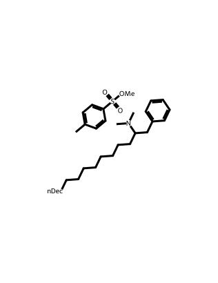 CCCCCCCCCCCCCCCCCCC(Cc1ccccc1)N(C)C.COS(=O)(=O)c1ccc(C)cc1